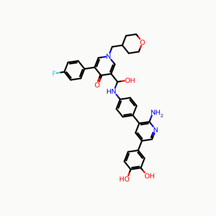 Nc1ncc(-c2ccc(O)c(O)c2)cc1-c1ccc(NC(O)c2cn(CC3CCOCC3)cc(-c3ccc(F)cc3)c2=O)cc1